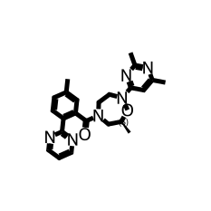 Cc1ccc(-c2ncccn2)c(C(=O)N2CCN(c3cc(C)nc(C)n3)O[C@@H](C)C2)c1